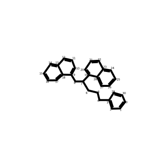 c1ccc(CCCC(Cc2cccc3ccccc23)c2cccc3ccccc23)cc1